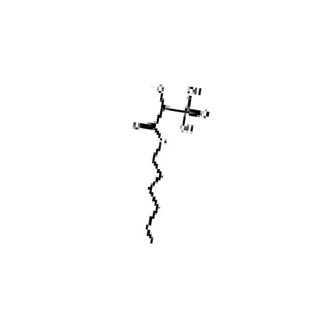 CCCCCCOC(=O)C(O)P(=O)(O)O